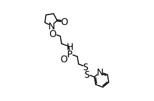 O=C1CCCN1OCCC[PH](=O)CCSSc1ccccn1